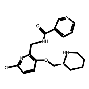 O=C(NCc1nc(Cl)ccc1OC[C@@H]1CCCCN1)c1cccnc1